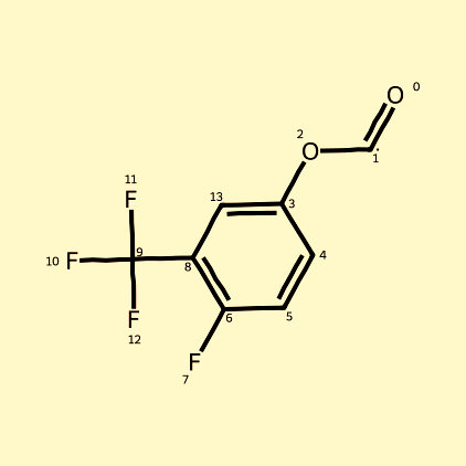 O=[C]Oc1ccc(F)c(C(F)(F)F)c1